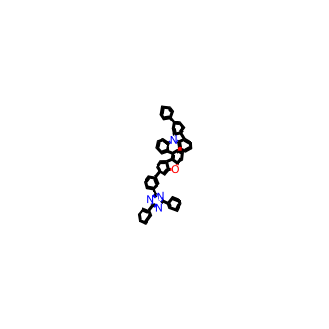 c1ccc(-c2ccc3c4ccccc4n(-c4ccccc4-c4cccc5oc6cc(-c7cccc(-c8nc(-c9ccccc9)nc(-c9ccccc9)n8)c7)ccc6c45)c3c2)cc1